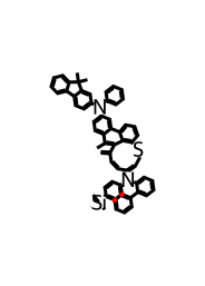 C=C1/C=C\C(N(c2ccc([Si](C)(C)C)cc2)c2ccccc2-c2ccccc2)=C/CSc2cccc3c2c1c(C)c1ccc(N(c2ccccc2)c2ccc4c(c2)C(C)(C)c2ccccc2-4)cc13